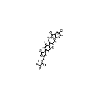 O=C(NC[C@H]1CN(c2cc(F)c(N3CCn4c(=O)c5cc(Cl)cnc5n4CC3)c(F)c2)C(=O)O1)C(F)F